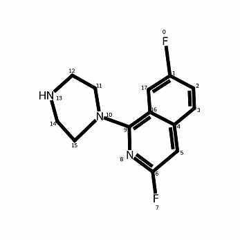 Fc1ccc2cc(F)nc(N3CCNCC3)c2c1